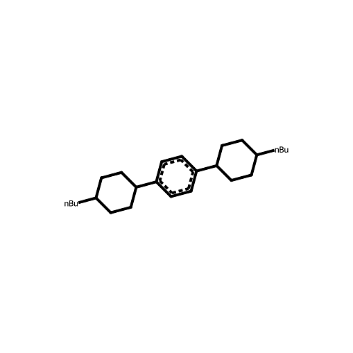 CCCCC1CCC(c2ccc(C3CCC(CCCC)CC3)cc2)CC1